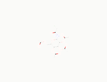 CC(=O)OCC1OC(NC(=O)CCl)C(OC(C)=O)C(OC(C)=O)C1OC(C)=O